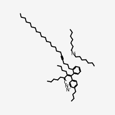 CCCCCCCCCCCCCCCCCC#CCCCc1ccccc1C(=C(CCCC)C(=C=[N+]=[N-])CCCCC)c1ccc(CCCC)cc1.CCCCCC[CH2][Ni][CH2]CCCCCC